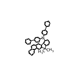 CC1(C)c2cc3c(ccc4ccccc43)cc2-c2c(N(c3ccc(-c4ccccc4)cc3)c3ccc(-c4ccccc4)cc3)cccc21